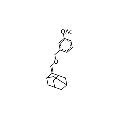 CC(=O)Oc1cccc(COC=C2C3CC4CC(C3)CC2C4)c1